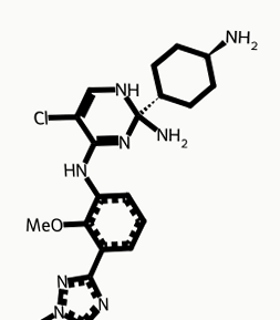 COc1c(NC2=NC(N)([C@H]3CC[C@H](N)CC3)NC=C2Cl)cccc1-c1ncn(C)n1